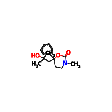 CN1CCC(CC(C)(C)O)(c2ccccc2)OC1=O